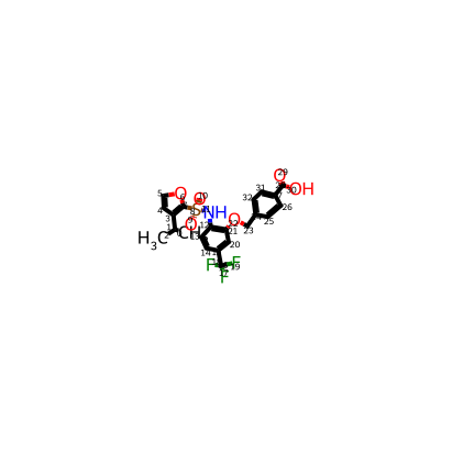 CC(C)c1ccoc1S(=O)(=O)Nc1ccc(C(F)(F)F)cc1OCc1ccc(C(=O)O)cc1